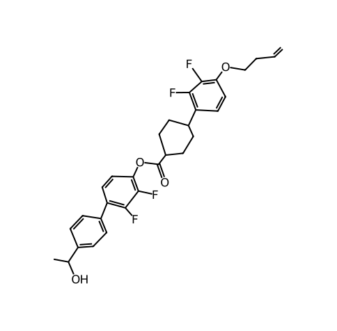 C=CCCOc1ccc(C2CCC(C(=O)Oc3ccc(-c4ccc(C(C)O)cc4)c(F)c3F)CC2)c(F)c1F